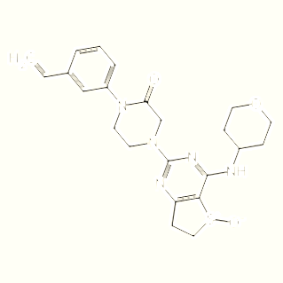 C=Cc1cccc(N2CCN(c3nc4c(c(NC5CCOCC5)n3)[S+]([O-])CC4)CC2=O)c1